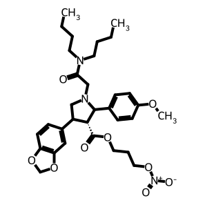 CCCCN(CCCC)C(=O)CN1CC(c2ccc3c(c2)OCO3)[C@@H](C(=O)OCCCO[N+](=O)[O-])C1c1ccc(OC)cc1